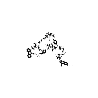 CCc1c2c(nc3ccc(O)cc13)-c1cc3c(c(=O)n1C2)COC(=O)[C@@]3(CC)OC(=O)N(C)CCN(C)C(=O)OCc1ccc(NC(=O)C(C)NC(=O)C(NC(=O)CCOCCOCCNC(=O)C(CS(=O)(=O)O)NC(=O)CCn2c(CN(C)N(C)C(=O)OCC3c4ccccc4-c4ccccc43)cc3cccnc32)C(C)C)c(O[C@@H]2O[C@H](C(=O)OC)[C@@H](OC(C)=O)[C@H](OC(C)=O)[C@H]2OC(C)=O)c1